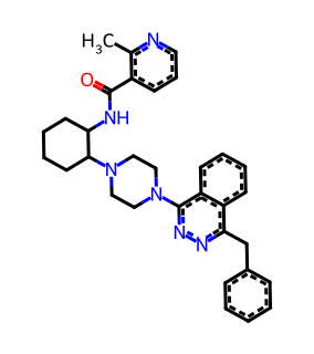 Cc1ncccc1C(=O)NC1CCCCC1N1CCN(c2nnc(Cc3ccccc3)c3ccccc23)CC1